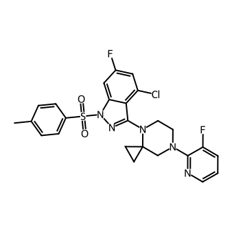 Cc1ccc(S(=O)(=O)n2nc(N3CCN(c4ncccc4F)CC34CC4)c3c(Cl)cc(F)cc32)cc1